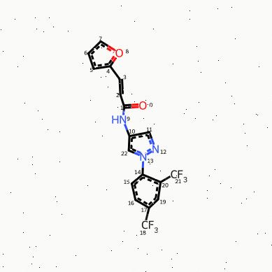 O=C(C=Cc1ccco1)Nc1cnn(-c2ccc(C(F)(F)F)cc2C(F)(F)F)c1